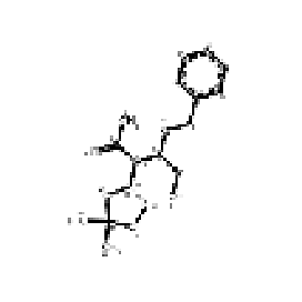 CC(=O)[C@@H]([C@H](CO)OCc1ccccc1)[C@@H]1COC(C)(C)O1